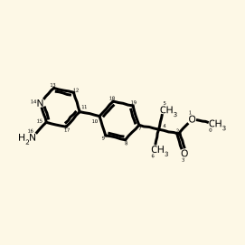 COC(=O)C(C)(C)c1ccc(-c2ccnc(N)c2)cc1